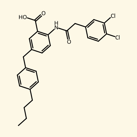 CCCCc1ccc(Cc2ccc(NC(=O)Cc3ccc(Cl)c(Cl)c3)c(C(=O)O)c2)cc1